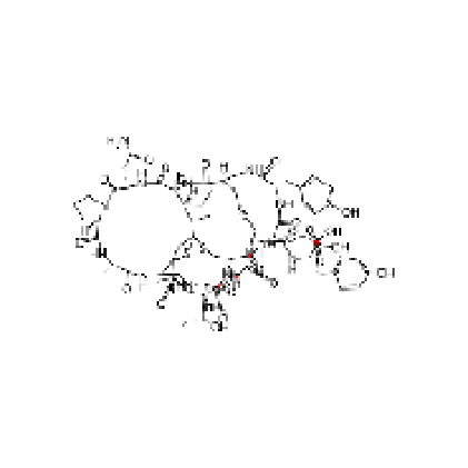 CC[C@@H]1C(C)C23CCC(C)(C)C[C@H](N)C(=O)N[C@@H](CS2)C(=O)N[C@@H](CCC(=O)O)C(=O)N[C@@H](Cc2ccc(O)cc2)C(=O)N[C@H]2CSSC[C@@H](C(=O)N[C@@H](Cc4ccc(O)cc4)C(=O)O)NC(=O)CNC(=O)[C@H]([C@@H](C)O)NC(=O)[C@H](CS3)NC(=O)[C@H](C)NC(=O)[C@@H]3CCCN3C(=O)[C@H](CC(N)=O)NC(=O)[C@H]1NC2=O